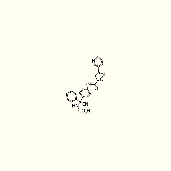 N#CC(NC(=O)O)(c1ccccc1)c1ccc(NC(=O)C2CC(c3cccnc3)=NO2)cc1